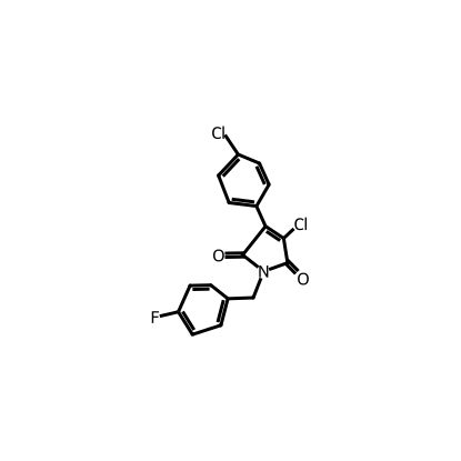 O=C1C(Cl)=C(c2ccc(Cl)cc2)C(=O)N1Cc1ccc(F)cc1